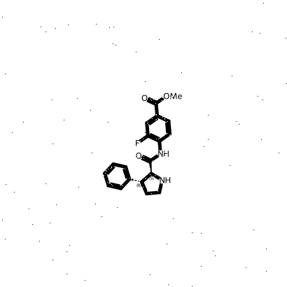 COC(=O)c1ccc(NC(=O)[C@H]2NCC[C@@H]2c2ccccc2)c(F)c1